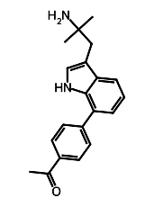 CC(=O)c1ccc(-c2cccc3c(CC(C)(C)N)c[nH]c23)cc1